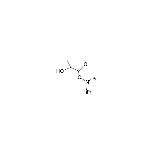 CC(O)C(=O)ON(C(C)C)C(C)C